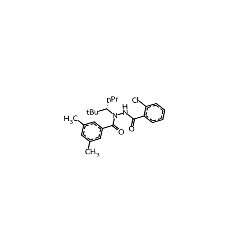 CCC[C@H](N(NC(=O)c1ccccc1Cl)C(=O)c1cc(C)cc(C)c1)C(C)(C)C